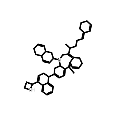 C/C1=C2/C=CCC/C2=C(\C(C)CC/C=C2/C=CCCC2)CN(C2C=CC3CCC=CC3C2)C2CC(C3CC=C(C4CCN4)c4ccccc43)=CC=C12